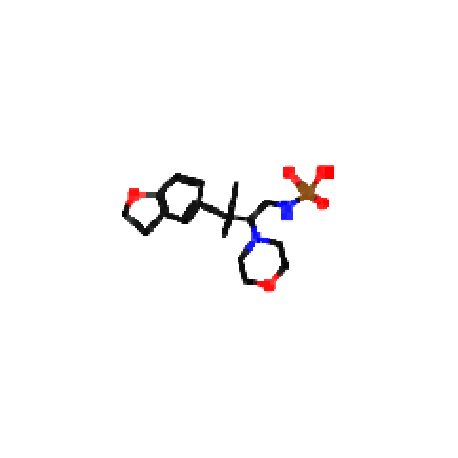 CC(C)(c1ccc2c(c1)CCO2)C(CNS(=O)(=O)O)N1CCOCC1